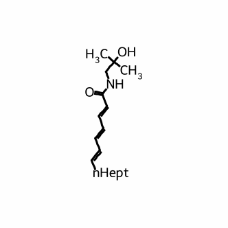 CCCCCCCC=CC=CC=CC(=O)NCC(C)(C)O